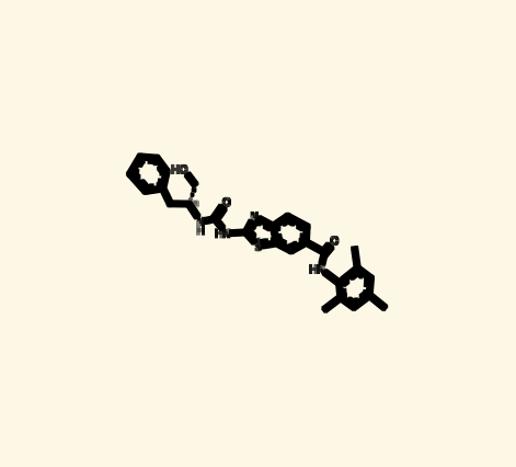 Cc1cc(C)c(NC(=O)c2ccc3nc(NC(=O)N[C@@H](CO)Cc4ccccc4)sc3c2)c(C)c1